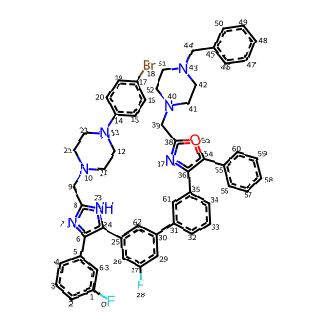 Fc1cccc(-c2nc(CN3CCN(c4ccc(Br)cc4)CC3)[nH]c2-c2cc(F)cc(-c3cccc(-c4nc(CN5CCN(Cc6ccccc6)CC5)oc4-c4ccccc4)c3)c2)c1